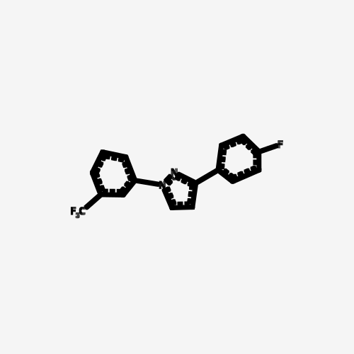 Fc1ccc(-c2ccn(-c3cccc(C(F)(F)F)c3)n2)cc1